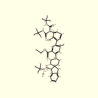 CCOC(=O)c1nc(-c2ccnc(N(C(=O)OC(C)(C)C)C(=O)OC(C)(C)C)c2Cl)c(C)nc1N1CCC2(CC1)Cc1ccccc1[C@H]2N[S@+]([O-])C(C)(C)C